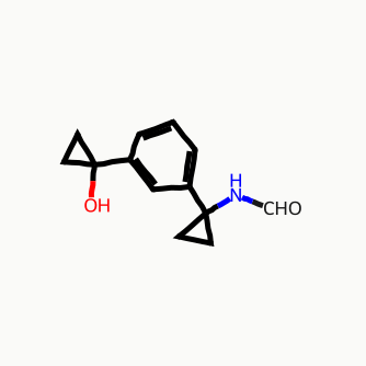 O=CNC1(c2cccc(C3(O)CC3)c2)CC1